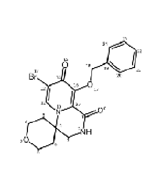 O=C1NCC2(CCOCC2)n2cc(Br)c(=O)c(OCc3ccccc3)c21